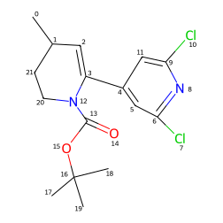 CC1C=C(c2cc(Cl)nc(Cl)c2)N(C(=O)OC(C)(C)C)CC1